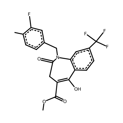 COC(=O)C1=C(O)c2ccc(C(F)(F)F)cc2N(Cc2ccc(C)c(F)c2)C(=O)C1